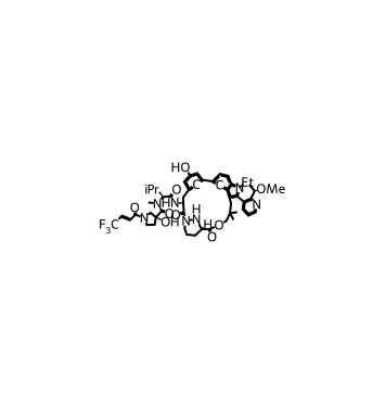 CCn1c(-c2cccnc2[C@H](C)OC)c2c3cc(ccc31)-c1cc(O)cc(c1)C[C@H](NC(=O)[C@H](C(C)C)N(C)C(=O)[C@]1(O)CCN(C(=O)/C=C/C(F)(F)F)C1)C(=O)N1CCC[C@H](N1)C(=O)OCC(C)(C)C2